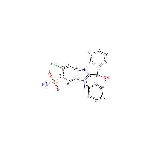 Cn1c(C(O)(c2ccccc2)c2ccccc2)nc2cc(F)c(S(N)(=O)=O)cc21